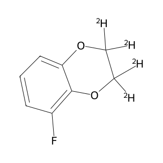 [2H]C1([2H])Oc2cccc(F)c2OC1([2H])[2H]